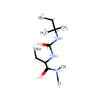 CCN(C#N)C(=O)C(CSC)NC(=O)NC(C)(C)CC(C)(C)C